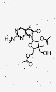 C=C(C)O[C@H]1[C@H](n2c(=O)sc3cnc(N)nc32)O[C@H](COC(C)=O)[C@@]1(C)CO